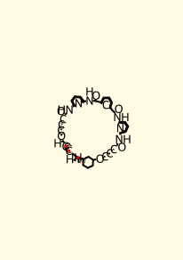 CC1(C)[C@H]2CCCC(C2)OCCCC(=O)Nc2cccc(n2)NC(=O)c2cccc(c2)C(=O)Nc2cccc(n2)NC(=O)CCCO[C@H]2CC[C@@H]1CC2